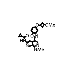 CNc1ncc(-c2nc3cc(OC4CC(OC)C4)ccc3o2)c2cc(NC(=O)C3CC3)ncc12